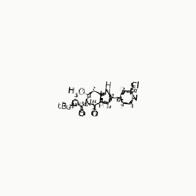 C[C@@H]1Cc2[nH]c(-c3ccnc(Cl)c3)cc2C(=O)N1C(=O)OC(C)(C)C